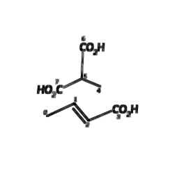 C/C=C/C(=O)O.CC(C(=O)O)C(=O)O